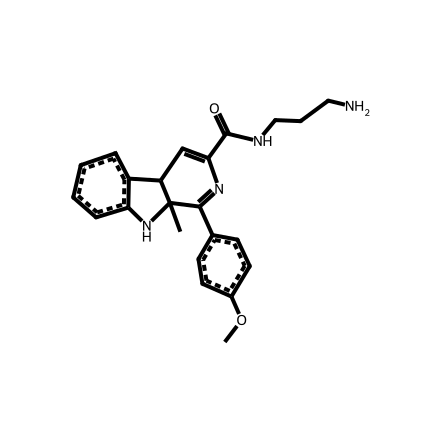 COc1ccc(C2=NC(C(=O)NCCCN)=CC3c4ccccc4NC23C)cc1